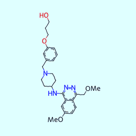 COCc1nnc(NC2CCN(Cc3cccc(OCCCO)c3)CC2)c2cc(OC)ccc12